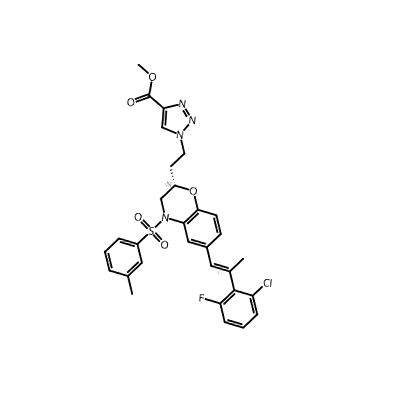 COC(=O)c1cn(CC[C@H]2CN(S(=O)(=O)c3cccc(C)c3)c3cc(/C=C(\C)c4c(F)cccc4Cl)ccc3O2)nn1